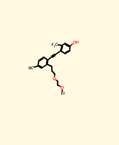 CCOCCOCCCc1cc(C#N)ccc1C#Cc1ccc(O)cc1C(F)(F)F